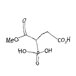 COC(=O)C(CC(=O)O)P(=O)(O)O